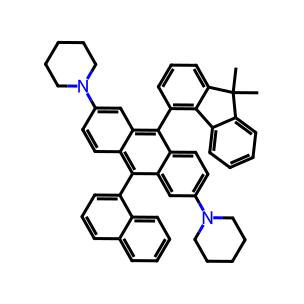 CC1(C)c2ccccc2-c2c(-c3c4cc(N5CCCCC5)ccc4c(-c4cccc5ccccc45)c4cc(N5CCCCC5)ccc34)cccc21